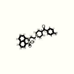 O=C(c1ccc(F)cc1)C1CCN(CCN2c3cccc4cccc(c34)S2(=O)=O)CC1